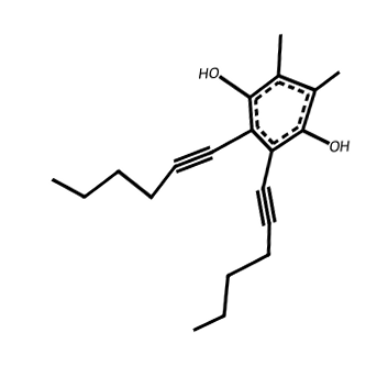 CCCCC#Cc1c(O)c(C)c(C)c(O)c1C#CCCCC